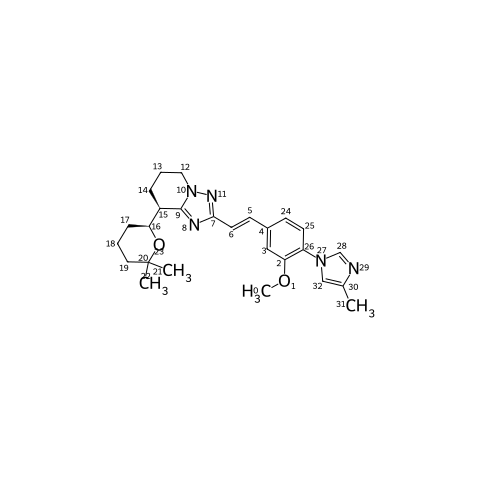 COc1cc(/C=C/c2nc3n(n2)CCC[C@@H]3[C@@H]2CCCC(C)(C)O2)ccc1-n1cnc(C)c1